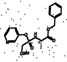 COCP(=O)(N[C@@H](C)C(=O)OCc1ccccc1)Oc1cccnc1